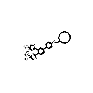 CC1(C)COC(c2ccc(-c3ccc(OCC4CCCCCCCCCC4)cc3)cc2C2=NC(C)(C)CO2)=N1